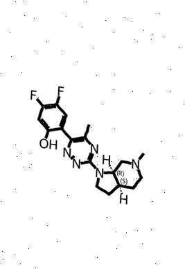 Cc1nc(N2CC[C@@H]3CCN(C)C[C@@H]32)nnc1-c1cc(F)c(F)cc1O